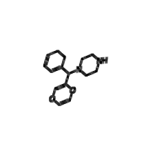 C1=CCCC(C(C2=COC=CO2)N2CCNCC2)=C1